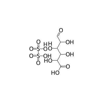 O=CC(O)C(O)C(O)C(O)C(=O)O.O=S(=O)(O)S(=O)(=O)O